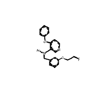 CC(=O)N(Cc1cccc(OCCF)c1)c1cnccc1Oc1ccccc1